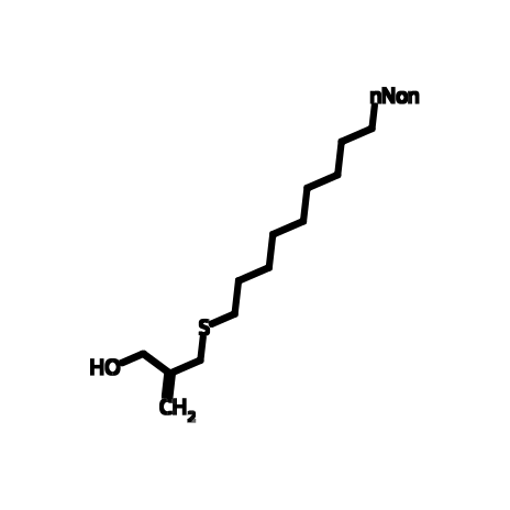 C=C(CO)CSCCCCCCCCCCCCCCCCCC